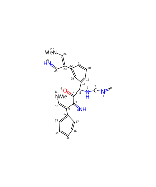 C=NCNC(C(=O)C(=N)/C(=C\NC)c1ccccc1)c1cccc(/C(C=N)=C/NC)c1